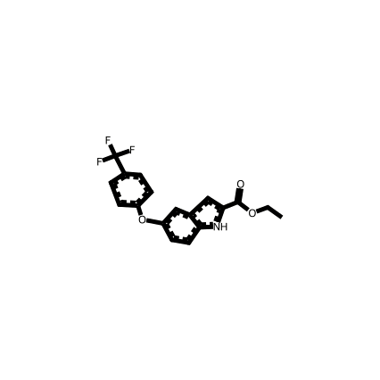 CCOC(=O)c1cc2cc(Oc3ccc(C(F)(F)F)cc3)ccc2[nH]1